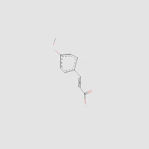 COc1ccc(/C=C/C(=O)O)cc1.[Zn]